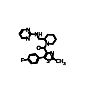 Cc1nc(C(=O)N2CCCCC2CNc2ncccn2)c(-c2ccc(F)cc2)s1